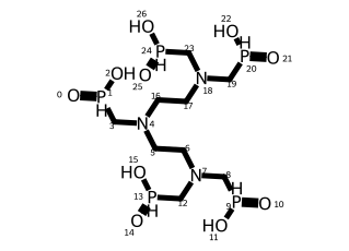 O=[PH](O)CN(CCN(C[PH](=O)O)C[PH](=O)O)CCN(C[PH](=O)O)C[PH](=O)O